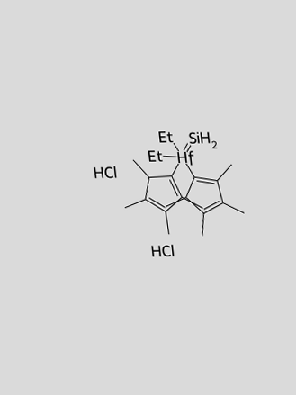 C[CH2][Hf](=[SiH2])([CH2]C)([C]1=C(C)C(C)=C(C)C1C)[C]1=C(C)C(C)=C(C)C1C.Cl.Cl